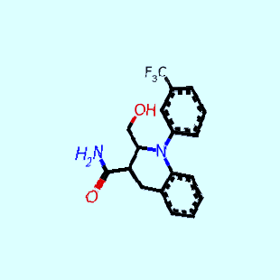 NC(=O)C1Cc2ccccc2N(c2cccc(C(F)(F)F)c2)C1CO